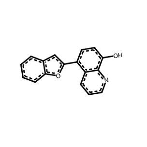 Oc1ccc(-c2cc3ccccc3o2)c2cccnc12